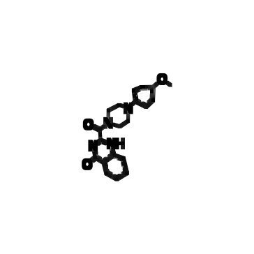 COc1ccc(N2CCN(C(=O)c3nc(=O)c4ccccc4[nH]3)CC2)cc1